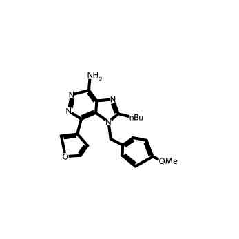 CCCCc1nc2c(N)nnc(-c3ccoc3)c2n1Cc1ccc(OC)cc1